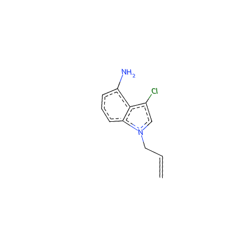 C=CCn1cc(Cl)c2c(N)cccc21